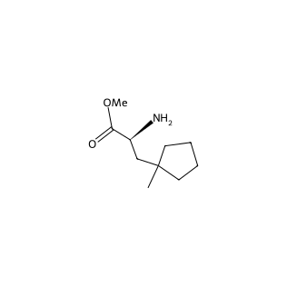 COC(=O)[C@@H](N)CC1(C)CCCC1